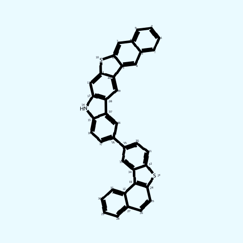 c1ccc2cc3c(cc2c1)sc1cc2[nH]c4ccc(-c5ccc6sc7ccc8ccccc8c7c6c5)cc4c2cc13